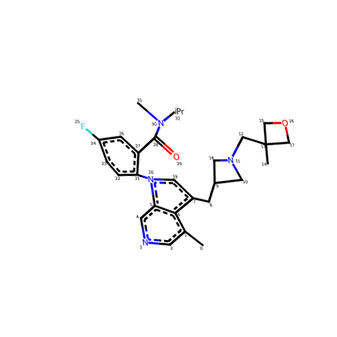 Cc1cncc2c1c(CC1CN(CC3(C)COC3)C1)cn2-c1ccc(F)cc1C(=O)N(C)C(C)C